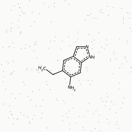 CCc1cc2cn[nH]c2cc1N